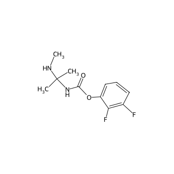 CNC(C)(C)NC(=O)Oc1cccc(F)c1F